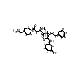 NCC1CCN(C(=O)C[C@H](N)C(=O)NC(CCc2ccccc2)C(=O)Nc2cccc(C(F)(F)F)c2)CC1